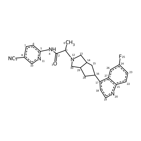 CC(C(=O)Nc1ccc(C#N)cn1)N1CC2CC(c3ccnc4ccc(F)cc34)CC2C1